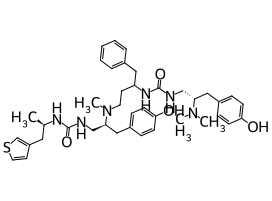 C[C@H](Cc1ccsc1)NC(=O)NC[C@H](Cc1ccc(O)cc1)N(C)CCC(Cc1ccccc1)NC(=O)NC[C@H](Cc1ccc(O)cc1)N(C)C